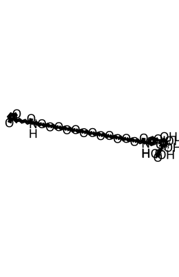 O=C(CCCCCN1C(=O)C=CC1=O)NCCOCCOCCOCCOCCOCCOCCOCCOCCOCCOCCOCCOCCC(=O)Nc1ccc(O[C@H]2O[C@H](CCP(=O)(O)O)[C@@H](O)[C@H](O)[C@@H]2O)cc1